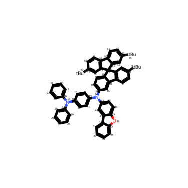 CC(C)(C)c1ccc2c(c1)C1(c3ccc(N(c4ccc(N(c5ccccc5)c5ccccc5)cc4)c4ccc5oc6ccccc6c5c4)cc3-2)c2cc(C(C)(C)C)ccc2-c2ccc(C(C)(C)C)cc21